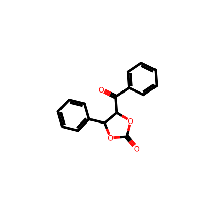 O=C1OC(C(=O)c2ccccc2)C(c2ccccc2)O1